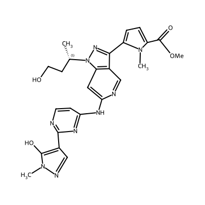 COC(=O)c1ccc(-c2nn([C@@H](C)CCO)c3cc(Nc4ccnc(-c5cnn(C)c5O)n4)ncc23)n1C